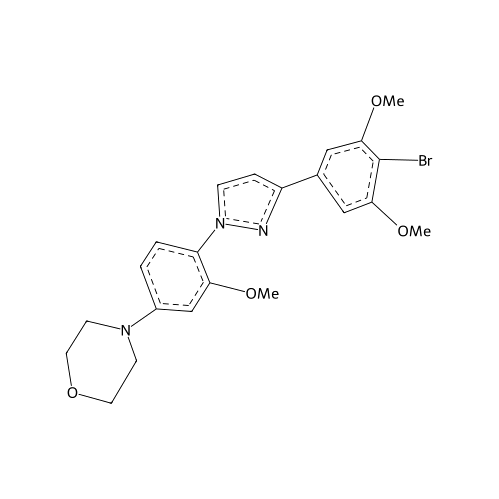 COc1cc(N2CCOCC2)ccc1-n1ccc(-c2cc(OC)c(Br)c(OC)c2)n1